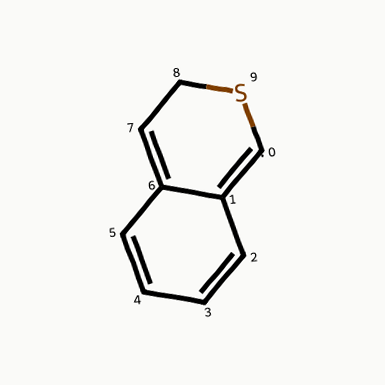 [C]1=c2ccccc2=CCS1